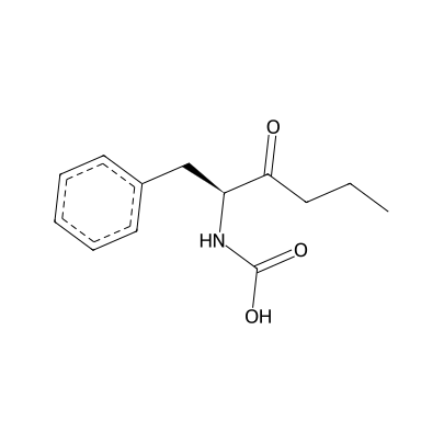 CCCC(=O)[C@H](Cc1ccccc1)NC(=O)O